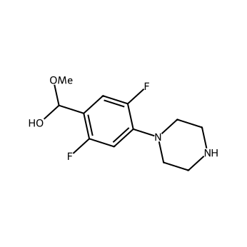 COC(O)c1cc(F)c(N2CCNCC2)cc1F